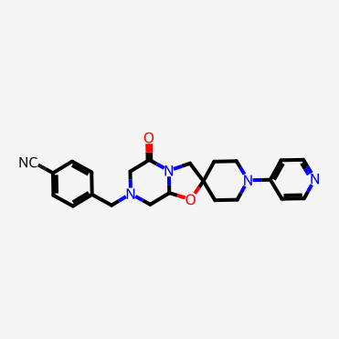 N#Cc1ccc(CN2CC(=O)N3CC4(CCN(c5ccncc5)CC4)OC3C2)cc1